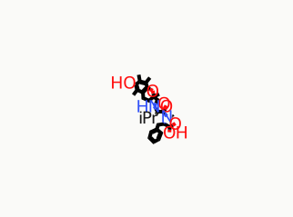 Cc1c(C)c2c(c(C)c1O)CCC(C)(C(=O)NC(C(=O)N1COC(O)C1Cc1ccccc1)C(C)C)O2